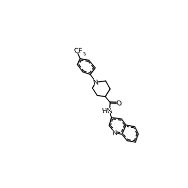 O=C(Nc1cnc2ccccc2c1)C1CCN(c2ccc(C(F)(F)F)cc2)CC1